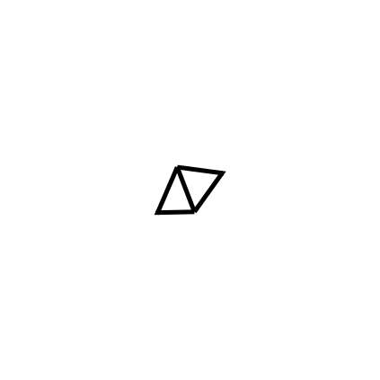 C1C2CC12